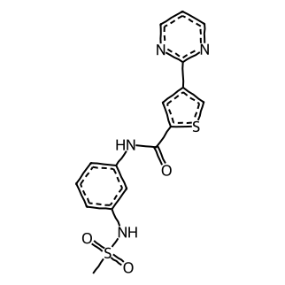 CS(=O)(=O)Nc1cccc(NC(=O)c2cc(-c3ncccn3)cs2)c1